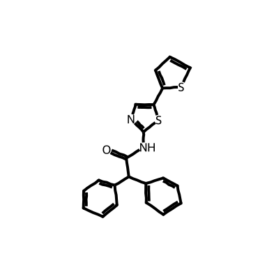 O=C(Nc1ncc(-c2cccs2)s1)C(c1ccccc1)c1ccccc1